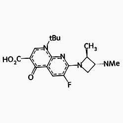 CN[C@@H]1CN(c2nc3c(cc2F)c(=O)c(C(=O)O)cn3C(C)(C)C)[C@H]1C